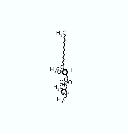 CCCCCCCCCCCCCCOc1ccc(COC(=O)N(Cc2ccc[n+](CC)c2)C(C)=O)cc1OC.[I-]